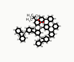 CC(C)(C)c1cc2c3c(c1)-n1c4ccc(-n5c6ccccc6c6ccccc65)cc4c4cc(-n5c6ccccc6c6ccccc65)cc(c41)B3c1cc(-c3ccccc3-c3ccccc3)cc(-c3ccccc3-c3ccccc3)c1O2